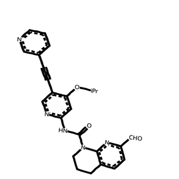 CC(C)Oc1cc(NC(=O)N2CCCc3ccc(C=O)nc32)ncc1C#Cc1cccnc1